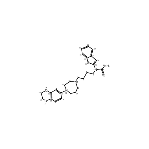 NC(=O)N(CCCCN1CCCN(c2ccc3c(c2)OCCO3)CC1)c1cc2ccccc2s1